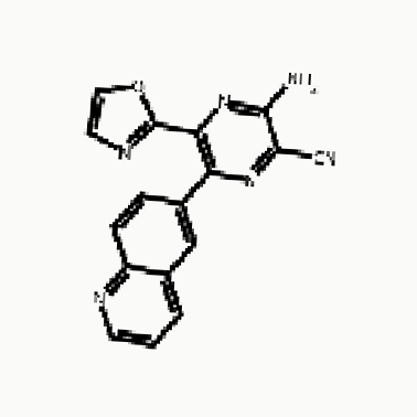 N#Cc1nc(-c2ccc3ncccc3c2)c(-c2ncco2)nc1N